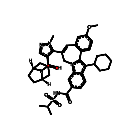 COc1ccc2c(c1)C=C(c1c(C(=O)N3[C@@H]4CC[C@H]3C[C@@](C)(O)C4)cnn1C)Cn1c-2c(C2CCCCC2)c2ccc(C(=O)NS(=O)(=O)C(C)C)cc21